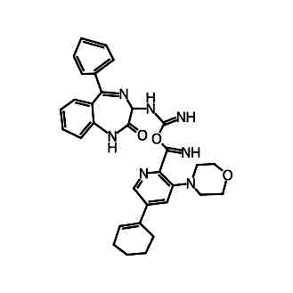 N=C(NC1N=C(c2ccccc2)c2ccccc2NC1=O)OC(=N)c1ncc(C2=CCCCC2)cc1N1CCOCC1